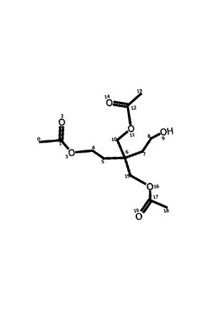 CC(=O)OCCC(CCO)(COC(C)=O)COC(C)=O